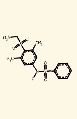 Cc1cc(N(F)S(=O)(=O)c2ccccc2)cc(C)c1S(=O)(=O)C[N+](=O)[O-]